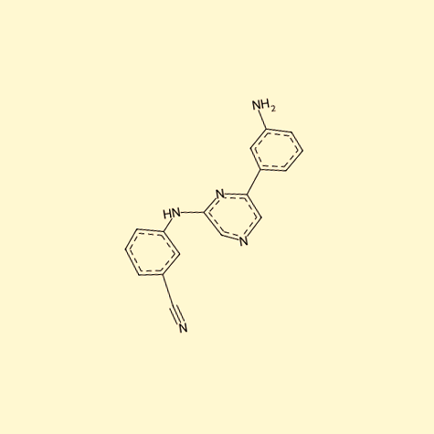 N#Cc1cccc(Nc2cncc(-c3cccc(N)c3)n2)c1